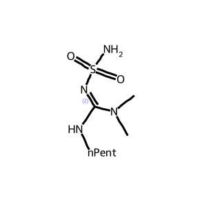 CCCCCN/C(=N/S(N)(=O)=O)N(C)C